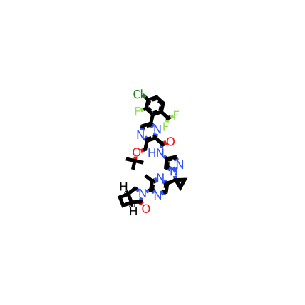 Cc1nc(C2(n3cc(NC(=O)c4nc(-c5c(C(F)F)ccc(Cl)c5F)cnc4COC(C)(C)C)cn3)CC2)cnc1N1C[C@H]2CC[C@H]2C1=O